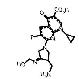 NCC1CN(c2nc3c(cc2F)c(=O)c(C(=O)O)cn3C2CC2)CC1=NCO